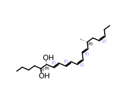 CC/C=C\C[C@@H](C)/C=C/C=C\C=C\C=C\[C@@H](O)[C@@H](O)CCCC